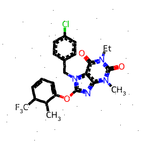 CCn1c(=O)c2c(nc(OC3=CC=CC(C(F)(F)F)C3C)n2Cc2ccc(Cl)cc2)n(C)c1=O